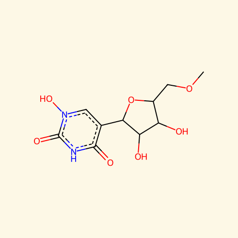 COCC1OC(c2cn(O)c(=O)[nH]c2=O)C(O)C1O